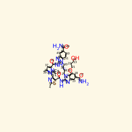 CCc1nc(C)sc1C(=O)Nc1nc2cc(C(N)=O)cc(OCCCO)c2n1C/C=C/Cn1c(NC(=O)c2cc(C)nn2CC)nc2cc(C(N)=O)ccc21